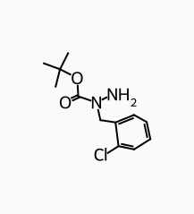 CC(C)(C)OC(=O)N(N)Cc1ccccc1Cl